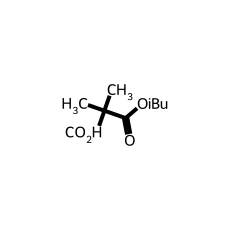 CC(C)COC(=O)C(C)(C)C(=O)O